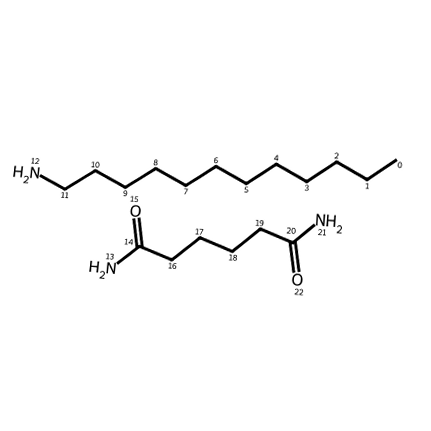 CCCCCCCCCCCCN.NC(=O)CCCCC(N)=O